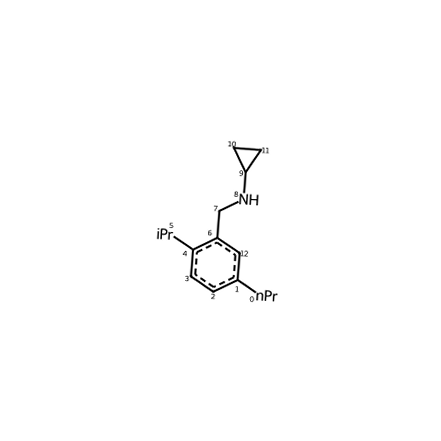 CCCc1ccc(C(C)C)c(CNC2CC2)c1